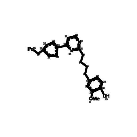 COc1cc(CCCCc2nccc(-c3ccc(CC(C)C)cc3)n2)ccc1O